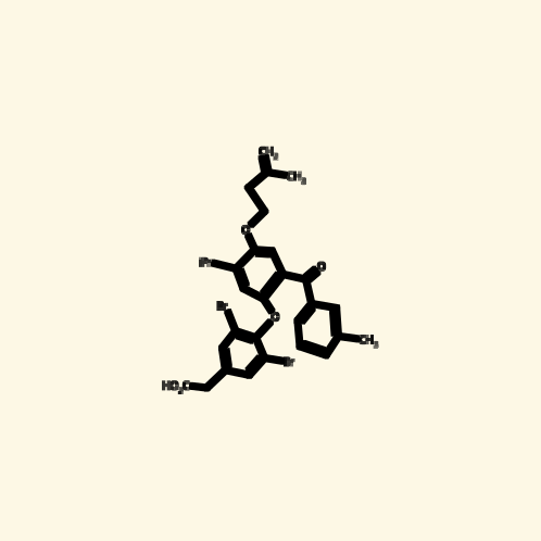 C=C(C)CCOc1cc(C(=O)c2cccc(C)c2)c(Oc2c(Br)cc(CC(=O)O)cc2Br)cc1C(C)C